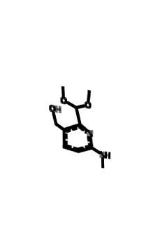 CNc1ccc(CO)c(C(OC)OC)n1